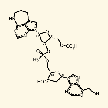 O=C(O)OC[C@H]1O[C@@H](n2cc3c4c(ncnc42)NCCC3)C[C@@H]1OP(=O)(S)OC[C@H]1O[C@@H](n2cnc3c(CO)ncnc32)C[C@@H]1O